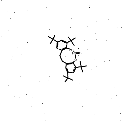 CC(C)(C)c1cc2c(c(C(C)(C)C)c1)O[PH](=O)Oc1c(cc(C(C)(C)C)cc1C(C)(C)C)CC2